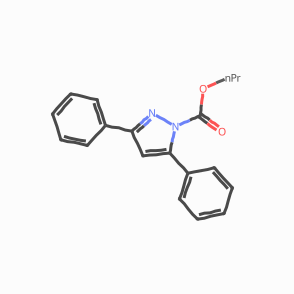 CCCOC(=O)n1nc(-c2ccccc2)cc1-c1ccccc1